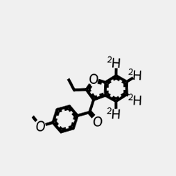 [2H]c1c([2H])c([2H])c2c(C(=O)c3ccc(OC)cc3)c(CC)oc2c1[2H]